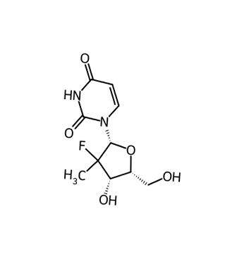 CC1(F)[C@@H](O)[C@@H](CO)O[C@H]1n1ccc(=O)[nH]c1=O